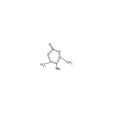 Cc1cc(=O)oc(C)c1C(C)(C)C